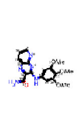 COc1cc(Nc2nc3n[c]ccc3nc2C(N)=O)cc(OC)c1OC